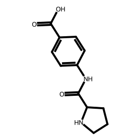 O=C(O)c1ccc(NC(=O)C2CCCN2)cc1